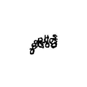 CSC(=S)OC(C(=O)N[C@H]1C(=O)N2C(C(=O)O)=C(COC(C)=O)CSC12)c1ccccc1